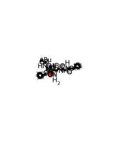 CCCCOC(=O)NCC[N+](C(=O)OCc1ccccc1)(C(=O)OC(C)(C)C)[C@@H](CCCNC(=O)CNC(=O)OCc1ccccc1)C(N)=O